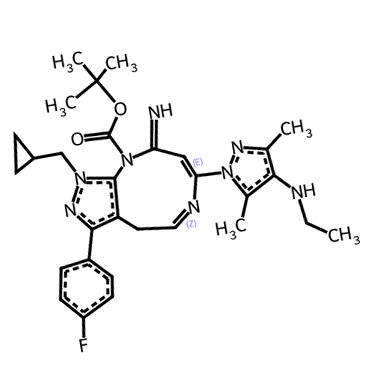 CCNc1c(C)nn(C2=C/C(=N)N(C(=O)OC(C)(C)C)c3c(c(-c4ccc(F)cc4)nn3CC3CC3)C/C=N\2)c1C